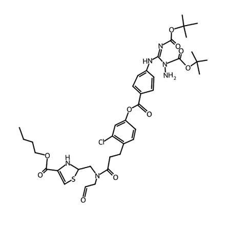 CCCCOC(=O)C1=CSC(CN(CC=O)C(=O)CCc2ccc(OC(=O)c3ccc(N/C(=N/C(=O)OC(C)(C)C)N(N)C(=O)OC(C)(C)C)cc3)cc2Cl)N1